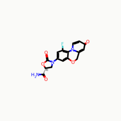 NC(=O)[C@H]1CN(c2cc(F)c3c(c2)OCc2cc(=O)ccn2-3)C(=O)O1